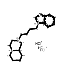 Cl.Cl.Cl.c1ccc2c(c1)ncn2CCCCN1CCN2CCCCC2C1